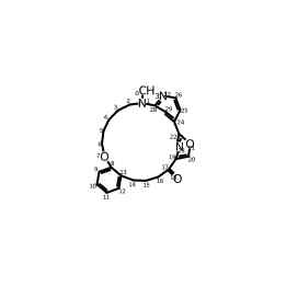 CN1CCCCCOc2ccccc2CCCC(=O)c2coc(n2)-c2ccnc1c2